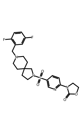 O=C1OCCN1c1ccc(S(=O)(=O)N2CCC3(CCN(Cc4cc(F)ccc4F)CC3)C2)cn1